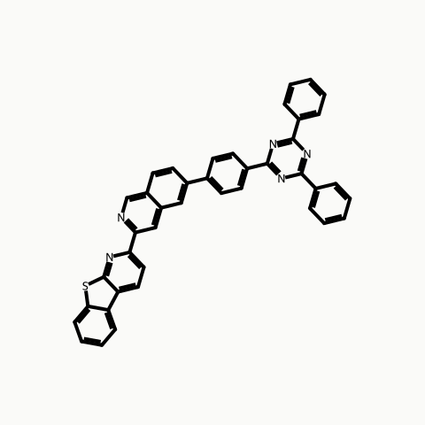 c1ccc(-c2nc(-c3ccccc3)nc(-c3ccc(-c4ccc5cnc(-c6ccc7c(n6)sc6ccccc67)cc5c4)cc3)n2)cc1